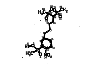 CCOP(C)(=O)c1cc(CCCCC(S(C)(=O)=O)S(C)(=O)=O)ccc1[N+](=O)[O-]